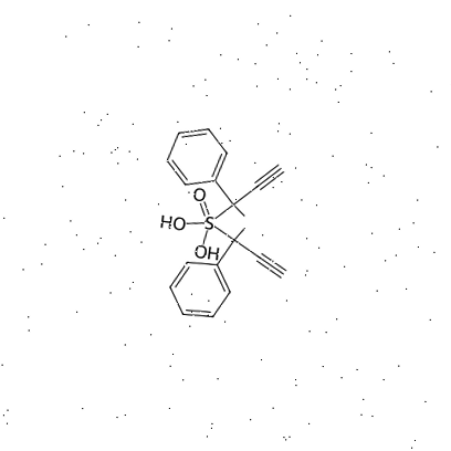 C#CC(C)(c1ccccc1)S(=O)(O)(O)C(C)(C#C)c1ccccc1